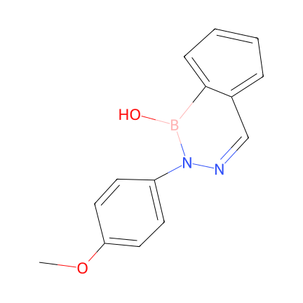 COc1ccc(N2N=Cc3ccccc3B2O)cc1